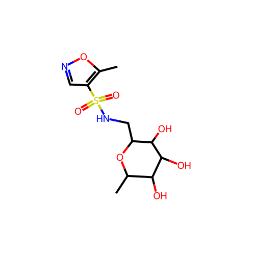 Cc1oncc1S(=O)(=O)NCC1OC(C)C(O)C(O)C1O